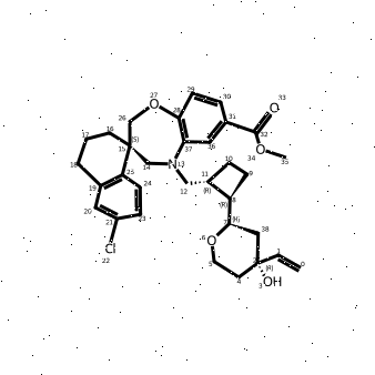 C=C[C@@]1(O)CCO[C@@H]([C@@H]2CC[C@H]2CN2C[C@@]3(CCCc4cc(Cl)ccc43)COc3ccc(C(=O)OC)cc32)C1